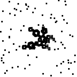 CC(COc1ccc(Cl)cn1)C(=O)NC(C)C(Cc1ccc(Cl)cc1)c1ccsc1